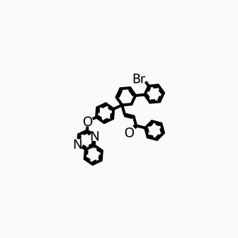 O=C(/C=C/C1(c2ccc(Oc3cnc4ccccc4n3)cc2)C=CC=C(c2ccccc2Br)C1)c1ccccc1